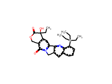 CC[C@@]1(O)C(=O)OCc2c1cc1n(c2=O)Cc2cc3cccc([Si](CC)(CC)CC)c3nc2-1